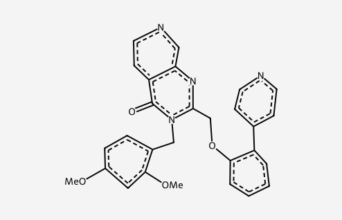 COc1ccc(Cn2c(COc3ccccc3-c3ccncc3)nc3cnccc3c2=O)c(OC)c1